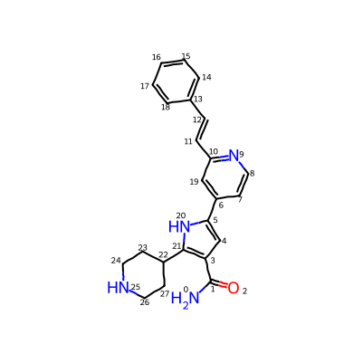 NC(=O)c1cc(-c2ccnc(C=Cc3ccccc3)c2)[nH]c1C1CCNCC1